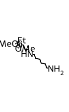 CC[Si](CCCNCCCCCCN)(OC)OC